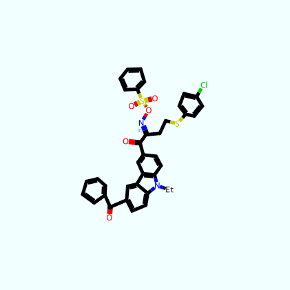 CCn1c2ccc(C(=O)/C(CCSc3ccc(Cl)cc3)=N/OS(=O)(=O)c3ccccc3)cc2c2cc(C(=O)c3ccccc3)ccc21